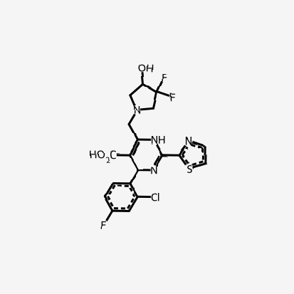 O=C(O)C1=C(CN2CC(O)C(F)(F)C2)NC(c2nccs2)=NC1c1ccc(F)cc1Cl